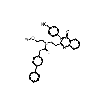 CCOCCN(CCc1nc2ccccc2c(=O)n1-c1ccc(C#N)cc1)C(=O)Cc1ccc(-c2ccccc2)cc1